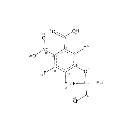 O=C(O)c1c(F)c(OC(F)(F)CCl)c(F)c(F)c1[N+](=O)[O-]